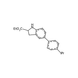 CCOC(=O)C1Cc2cc(-c3ccc(C(C)C)cc3)ccc2N1